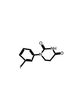 O=C1CCN(c2cccc(I)c2)C(=O)N1